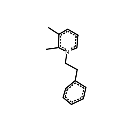 Cc1ccc[n+](CCc2ccccc2)c1C